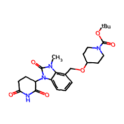 Cn1c(=O)n(C2CCC(=O)NC2=O)c2cccc(COC3CCN(C(=O)OC(C)(C)C)CC3)c21